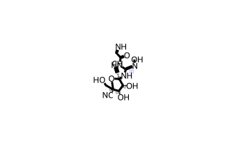 C#C[C@@]1(N/C(=N/O)NC(=O)C=N)O[C@](C#N)(CO)[C@@H](O)[C@H]1O